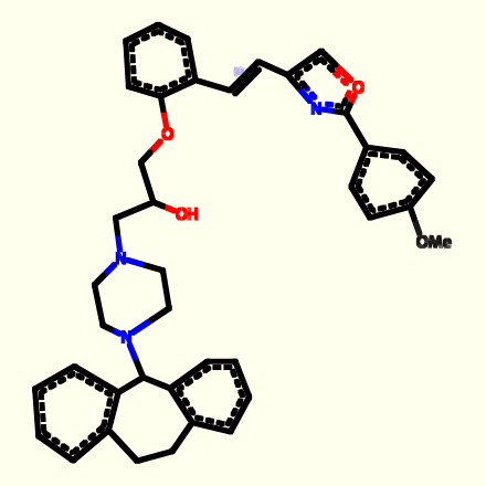 COc1ccc(-c2nc(/C=C/c3ccccc3OCC(O)CN3CCN(C4c5ccccc5CCc5ccccc54)CC3)co2)cc1